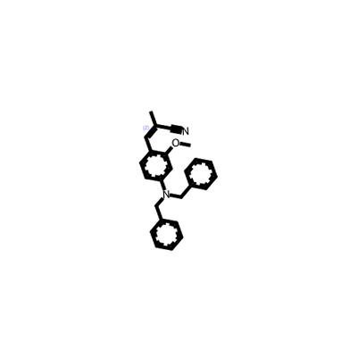 COc1cc(N(Cc2ccccc2)Cc2ccccc2)ccc1/C=C(/C)C#N